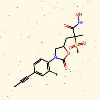 CC#Cc1ccc(N2CC(CC(C)(C(=O)NO)S(C)(=O)=O)OC2=O)c(F)c1